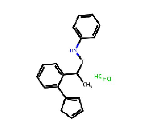 C[CH]([Ti][NH]c1ccccc1)c1ccccc1C1=CC=CC1.Cl.Cl